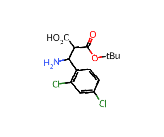 CC(C)(C)OC(=O)C(C(=O)O)C(N)c1ccc(Cl)cc1Cl